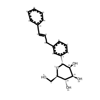 OC[C@H]1O[C@H](c2cccc(C/C=C/c3ccccc3)c2)[C@@H](O)[C@@H](O)[C@@H]1O